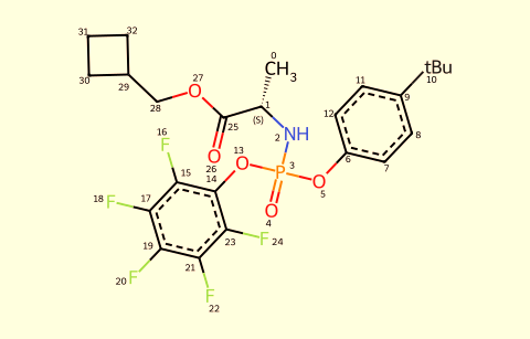 C[C@H](NP(=O)(Oc1ccc(C(C)(C)C)cc1)Oc1c(F)c(F)c(F)c(F)c1F)C(=O)OCC1CCC1